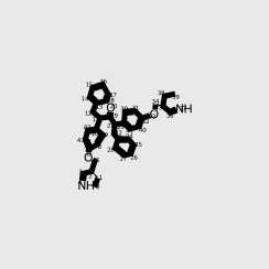 CC[C@H](C=N)COc1ccc(C(Cc2ccccc2)C(=O)C(Cc2ccccc2)c2ccc(OC[C@@H](C=N)CC)cc2)cc1